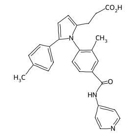 Cc1ccc(-c2ccc(CCC(=O)O)n2-c2ccc(C(=O)Nc3ccncc3)cc2C)cc1